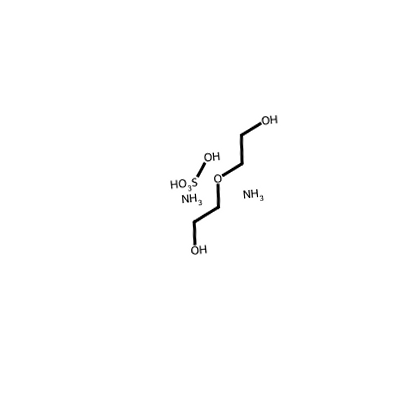 N.N.O=S(=O)(O)O.OCCOCCO